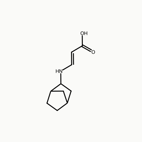 O=C(O)C=CNC1CC2CCC1C2